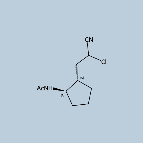 CC(=O)N[C@@H]1CCC[C@H]1CC(Cl)C#N